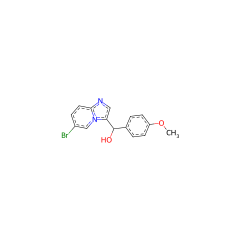 COc1ccc(C(O)c2cnc3ccc(Br)cn23)cc1